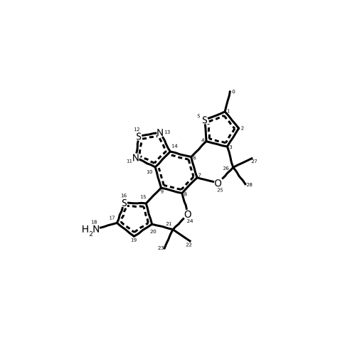 Cc1cc2c(s1)-c1c(c3c(c4nsnc14)-c1sc(N)cc1C(C)(C)O3)OC2(C)C